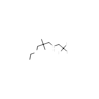 CCOCC(C)(C)CNCC(F)(F)F